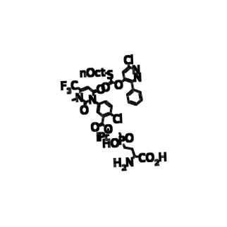 CC(C)OC(=O)c1cc(-n2c(=O)cc(C(F)(F)F)n(C)c2=O)ccc1Cl.CCCCCCCCSC(=O)Oc1cc(Cl)nnc1-c1ccccc1.CP(=O)(O)CCC(N)C(=O)O